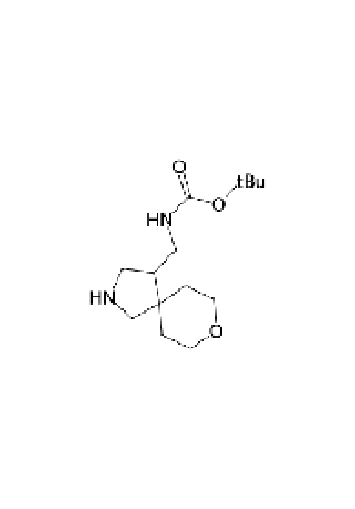 CC(C)(C)OC(=O)NCC1CNCC12CCOCC2